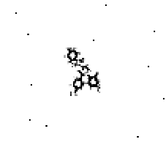 Cc1cc(Cl)ccc1N1CCN(S(=O)(=O)c2ccc(F)cc2F)CC1c1ccc(Cl)cc1